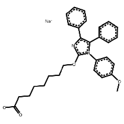 COc1ccc(-n2c(OCCCCCCCC(=O)[O-])nc(-c3ccccc3)c2-c2ccccc2)cc1.[Na+]